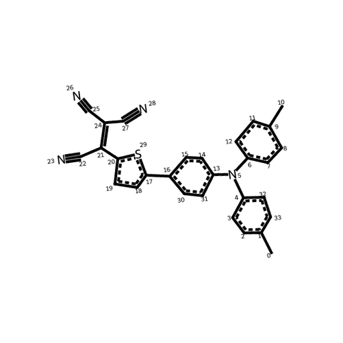 Cc1ccc(N(c2ccc(C)cc2)c2ccc(-c3ccc(C(C#N)=C(C#N)C#N)s3)cc2)cc1